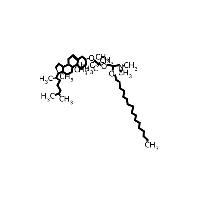 CCCCCCCCCCCCCCCCCCOC(COC(C)(C)C(C)(C)O[C@H]1CC[C@@]2(C)C(=CCC3C2CC[C@@]2(C)C3CC[C@@H]2[C@H](C)CCCC(C)C)C1)CN(C)C